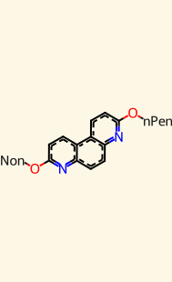 CCCCCCCCCOc1ccc2c(ccc3nc(OCCCCC)ccc32)n1